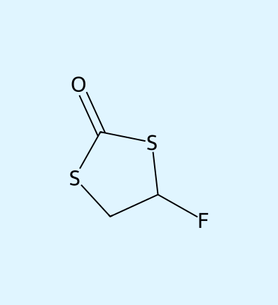 O=C1SCC(F)S1